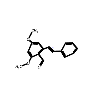 COc1cc(/C=C/c2ccccc2)c(C=O)c(OC)c1